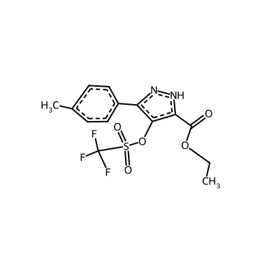 CCOC(=O)c1[nH]nc(-c2ccc(C)cc2)c1OS(=O)(=O)C(F)(F)F